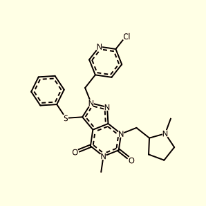 CN1CCCC1Cn1c(=O)n(C)c(=O)c2c(Sc3ccccc3)n(Cc3ccc(Cl)nc3)nc21